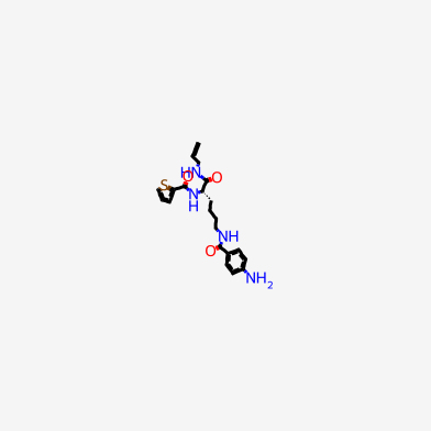 C=CCNC(=O)[C@H](CCCCNC(=O)c1ccc(N)cc1)NC(=O)c1cccs1